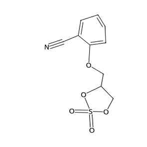 N#Cc1ccccc1OCC1COS(=O)(=O)O1